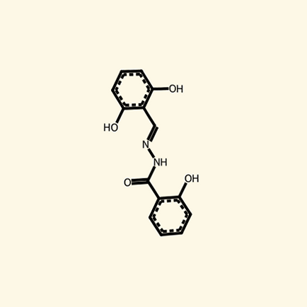 O=C(N/N=C/c1c(O)cccc1O)c1ccccc1O